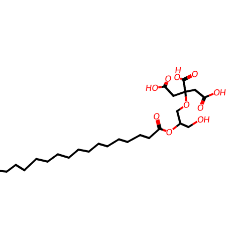 CCCCCCCCCCCCCCCCCC(=O)OC(CO)COC(CC(=O)O)(CC(=O)O)C(=O)O